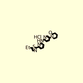 CCc1cnc(-c2cccc(Nc3ccc(N4CCCCC4=O)cn3)n2)s1.Cl